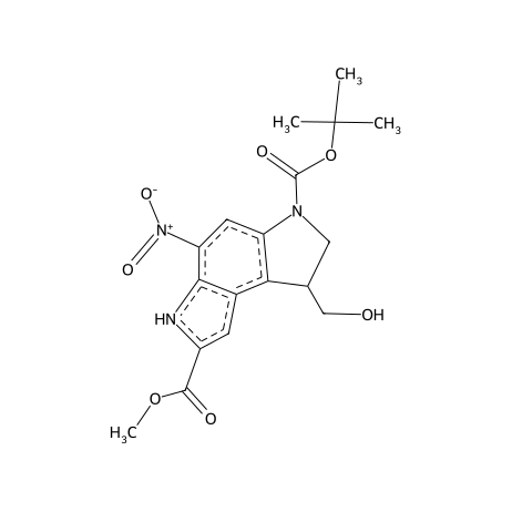 COC(=O)c1cc2c3c(cc([N+](=O)[O-])c2[nH]1)N(C(=O)OC(C)(C)C)CC3CO